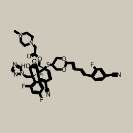 CCC(Cn1cncn1)(c1ccc(F)cc1F)[C@@]1(C(=O)O)C=C(C#N)C=C[C@@]1(COC(=O)CN1CCN(C)CC1)SC1COC(C=CC=Cc2ccc(C#N)cc2F)OC1